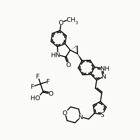 COc1ccc2c(c1)[C@]1(C[C@H]1c1ccc3c(/C=C/c4csc(CN5CCOCC5)c4)n[nH]c3c1)C(=O)N2.O=C(O)C(F)(F)F